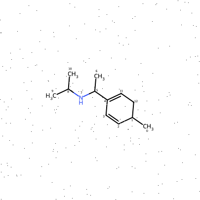 CC1C=CC(C(C)NC(C)C)=CC1